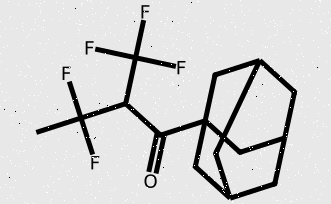 CC(F)(F)C(C(=O)C12CC3CC(CC(C3)C1)C2)C(F)(F)F